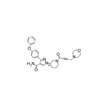 NC(=O)c1cn([C@@H]2CCCN(C(=O)C#CCN3CCOCC3)C2)nc1-c1ccc(Oc2ccccc2)cc1